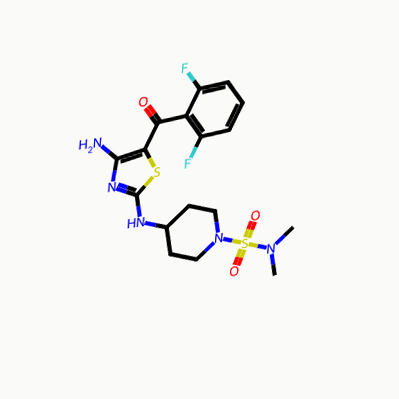 CN(C)S(=O)(=O)N1CCC(Nc2nc(N)c(C(=O)c3c(F)cccc3F)s2)CC1